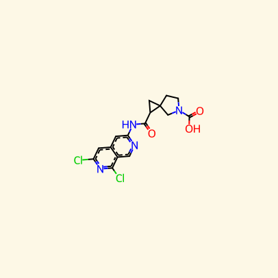 O=C(Nc1cc2cc(Cl)nc(Cl)c2cn1)C1CC12CCN(C(=O)O)C2